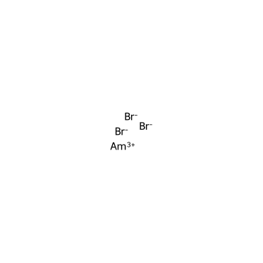 [Am+3].[Br-].[Br-].[Br-]